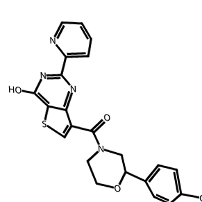 O=C(c1csc2c(O)nc(-c3ccccn3)nc12)N1CCOC(c2ccc(Cl)cc2)C1